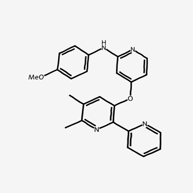 COc1ccc(Nc2cc(Oc3cc(C)c(C)nc3-c3ccccn3)ccn2)cc1